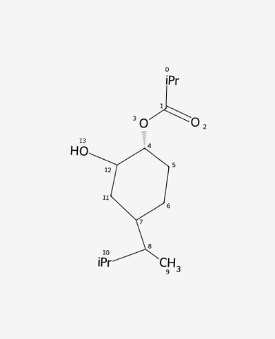 CC(C)C(=O)O[C@@H]1CCC(C(C)C(C)C)CC1O